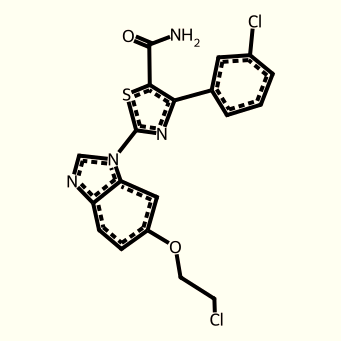 NC(=O)c1sc(-n2cnc3ccc(OCCCl)cc32)nc1-c1cccc(Cl)c1